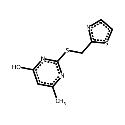 Cc1cc(O)nc(SCc2nccs2)n1